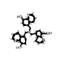 Oc1ccc(CN(Cc2ccc(O)c3ncccc23)Cc2ccc(O)c3ncccc23)c2cccnc12